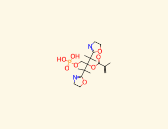 C=C(C)C(=O)OC(COP(=O)(O)O)(C(C)(C)C1=NCCO1)C(C)(C)C1=NCCO1